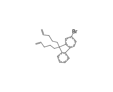 C=CCCCC1(CCCC=C)c2ccccc2-c2ccc(Br)cc21